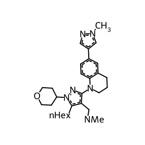 CCCCCCc1c(CNC)c(N2CCCc3cc(-c4cnn(C)c4)ccc32)nn1C1CCOCC1